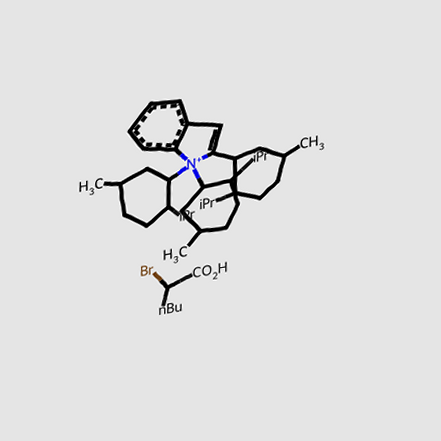 CC1CCC(C(C)C)C(C2=Cc3ccccc3[N+]2(C2CC(C)CCC2C(C)C)C2CC(C)CCC2C(C)C)C1.CCCCC(Br)C(=O)O